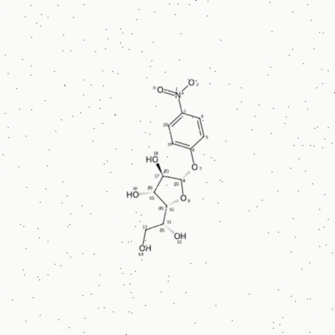 O=[N+]([O-])c1ccc(O[C@@H]2O[C@H]([C@H](O)CO)[C@H](O)[C@H]2O)cc1